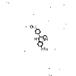 CCCCCCCCc1ccc(C(Nc2ccc(CCCC)cc2)n2ccnn2)cc1